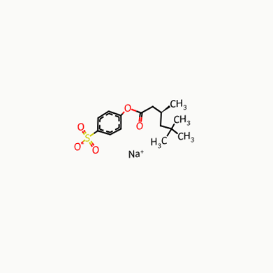 C[C@H](CC(=O)Oc1ccc(S(=O)(=O)[O-])cc1)CC(C)(C)C.[Na+]